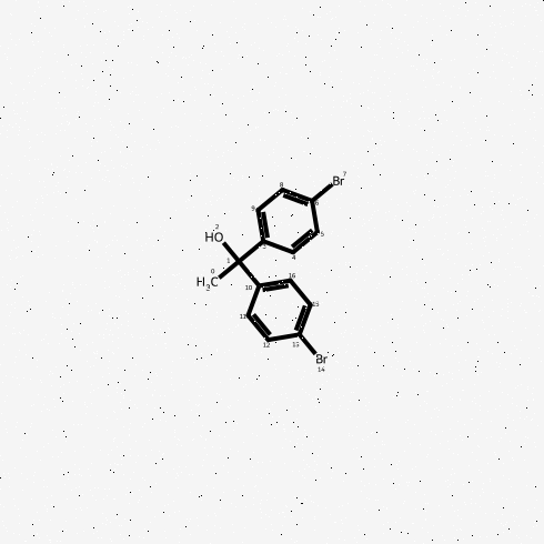 CC(O)(c1ccc(Br)cc1)c1ccc(Br)cc1